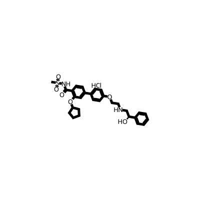 CS(=O)(=O)NC(=O)c1ccc(-c2ccc(OCCNC[C@H](O)c3ccccc3)cc2)cc1OC1CCCC1.Cl